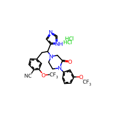 Cl.Cl.N#Cc1ccc(CC(c2cnc[nH]2)N2CCN(c3cccc(OC(F)(F)F)c3)C(=O)C2)cc1OC(F)(F)F